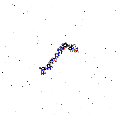 CC(C)S(=O)(=O)Nc1ccc(F)c(Oc2ccc3ncn(-c4cnc(N5CCN(C(=O)CN6CCC(c7ccc(N[C@H]8CCC(=O)NC8=O)cc7F)CC6)CC5)nc4)c(=O)c3c2)c1C#N